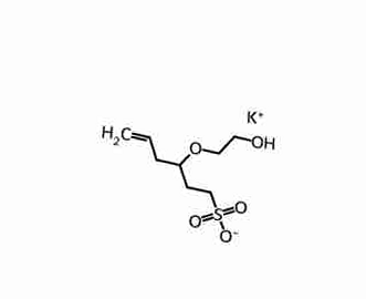 C=CCC(CCS(=O)(=O)[O-])OCCO.[K+]